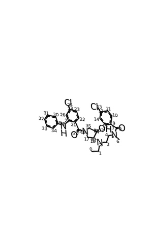 CCN(CCN(C)C(=O)c1ccc(Cl)cc1)[C@@H]1CN(C(=O)c2ccc(Cl)cc2Nc2ccccc2)C[C@H]1O